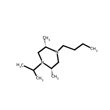 CCCCN1C[C@H](C)N(C(C)C)C[C@@H]1C